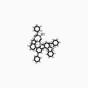 CC[C@H]1C=C(n2c3ccc(-c4ccccc4)cc3c3c4c5ccccc5n5c6ccccc6c(cc32)c45)c2c(sc3ccccc23)N=C1c1ccccc1